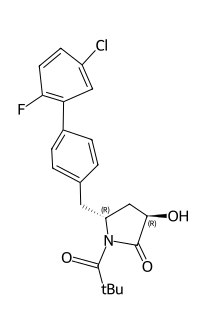 CC(C)(C)C(=O)N1C(=O)[C@H](O)C[C@H]1Cc1ccc(-c2cc(Cl)ccc2F)cc1